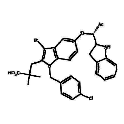 CCc1c(CC(C)(C)C(=O)O)n(Cc2ccc(Cl)cc2)c2ccc(O[C@H](C(C)=O)C3Cc4ccccc4N3)cc12